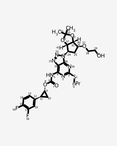 CCCSc1nc(NC(=O)O[C@@H]2C[C@H]2c2ccc(F)c(F)c2)c2nnn([C@@H]3C[C@H](OCCO)[C@H]4OC(C)(C)O[C@H]43)c2n1